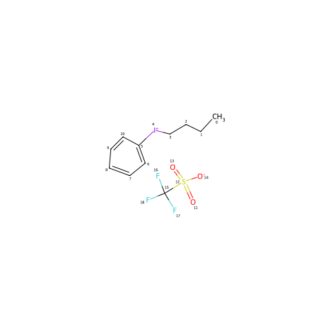 CCCC[I+]c1ccccc1.O=S(=O)([O-])C(F)(F)F